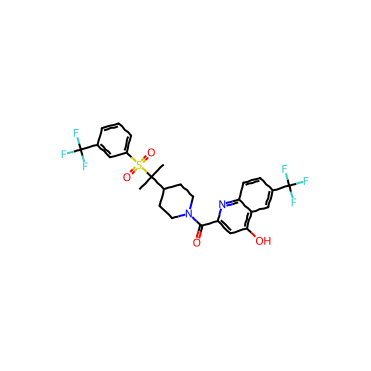 CC(C)(C1CCN(C(=O)c2cc(O)c3cc(C(F)(F)F)ccc3n2)CC1)S(=O)(=O)c1cccc(C(F)(F)F)c1